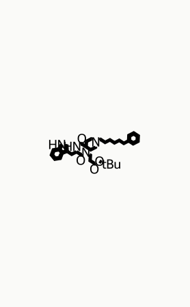 CC(C)(C)OC(=O)CCN1C(=O)C(Cc2c[nH]c3ccccc23)NC(=O)C12CCN(CCCCCCc1ccccc1)CC2